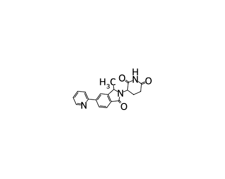 CC1c2cc(-c3ccccn3)ccc2C(=O)N1C1CCC(=O)NC1=O